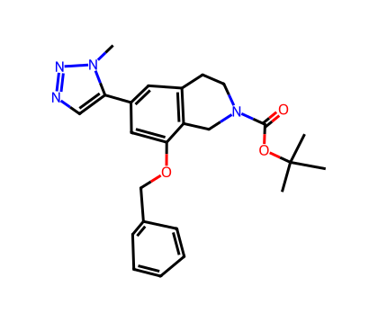 Cn1nncc1-c1cc2c(c(OCc3ccccc3)c1)CN(C(=O)OC(C)(C)C)CC2